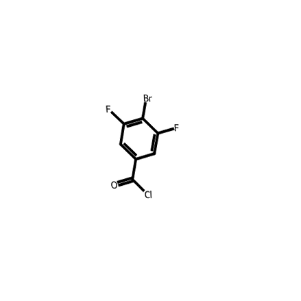 O=C(Cl)c1cc(F)c(Br)c(F)c1